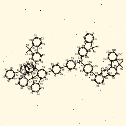 CC1(C)c2ccccc2-c2ccc(N(c3ccc(-c4ccc(-c5cc6c(c(N(c7ccc(-c8ccccc8)cc7)c7ccc8c(c7)C(C)(C)c7ccccc7-8)c5)C5(c7ccccc7-c7ccccc75)c5ccccc5-6)cc4)cc3)c3ccc(-c4cccc5c4oc4c6c(ccc45)C(C)(C)c4ccccc4-6)cc3)cc21